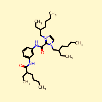 CCCCC(CC)Cn1cc[n+](CC(CC)CCCC)c1C(=O)Nc1cccc(NC(=O)C(CC)CCCC)c1